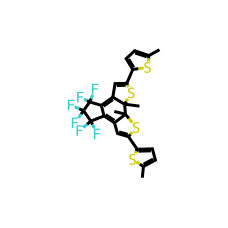 Cc1ccc(C2=CC3=C4C(=C5C=C(c6ccc(C)s6)SC5(C)C3(C)S2)C(F)(F)C(F)(F)C4(F)F)s1